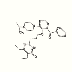 CCc1nc(CCCOc2c(C(=O)c3ccccc3)cccc2N2CCN(C(C)O)CC2)[nH]c(=O)c1CC